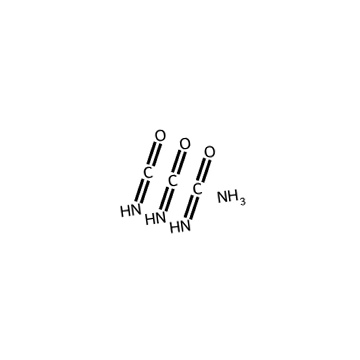 N.N=C=O.N=C=O.N=C=O